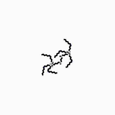 CCCCC/C=C\CCCO[Si](CCCCN(C)CCCN(C)CCCC[Si](OCCC/C=C\CCCCC)(OCCC/C=C\CCCCC)OCCC/C=C\CCCCC)(OCCC/C=C\CCCCC)OCCC/C=C\CCCCC